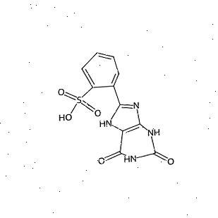 O=c1[nH]c(=O)c2[nH]c(-c3ccccc3S(=O)(=O)O)nc2[nH]1